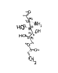 C=CC(=O)OC[C@@H](O)[C@@H](O)[C@H](O)[C@@H](N)C=O